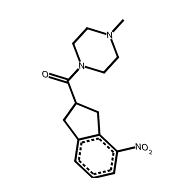 CN1CCN(C(=O)C2Cc3cccc([N+](=O)[O-])c3C2)CC1